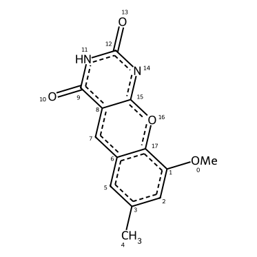 COc1cc(C)cc2cc3c(=O)[nH]c(=O)nc-3oc12